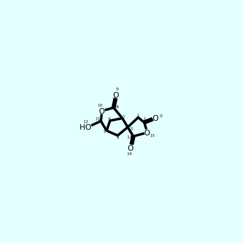 O=C1CC2(CC3CC2C(=O)OC3O)C(=O)O1